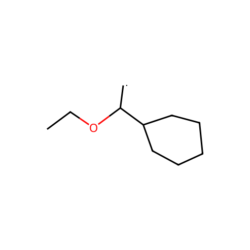 [CH2]C(OCC)C1CCCCC1